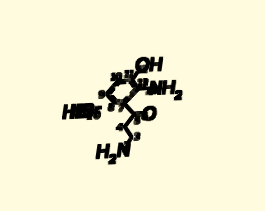 Br.Br.NCCC(=O)c1cccc(O)c1N